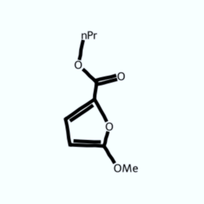 CCCOC(=O)c1ccc(OC)o1